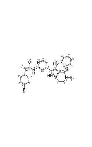 CCN1CCc2[nH]c(-c3ccnc(NC(=O)[C@@H](C)c4ccc(F)cc4)c3)c(Nc3ccccc3)c2C1=O